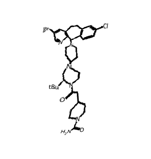 CC(C)(C)[C@H]1CN(C2CCN(C3c4ccc(Cl)cc4CCc4cc(Br)cnc43)CC2)CCN1C(=O)CC1CCN(C(N)=O)CC1